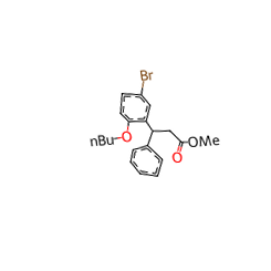 CCCCOc1ccc(Br)cc1C(CC(=O)OC)c1ccccc1